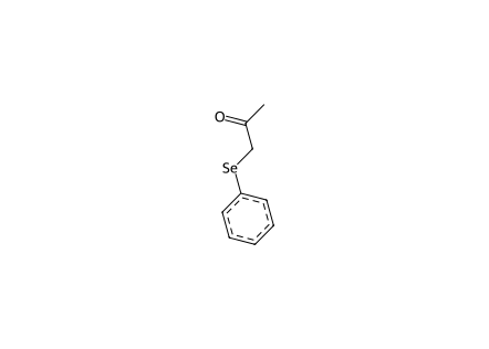 CC(=O)C[Se]c1ccccc1